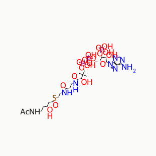 CC(=O)NCCC(O)CC(=O)SCCNC(=O)CCNC(=O)[C@H](O)C(C)(C)COP(=O)(O)OP(=O)(O)OC[C@H]1O[C@@H](n2cnc3c(N)ncnc32)[C@H](O)[C@@H]1OP(=O)(O)O